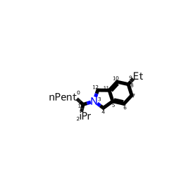 CCCCCC(C(C)C)N1CC2=CCC(CC)C=C2C1